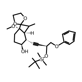 CO[C@@]12CC[C@H](O)[C@@H](C#C[C@@H](COc3ccccc3)O[Si](C)(C)C(C)(C)C)[C@@H]1C(C)C21OCCO1